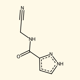 N#CCNC(=O)c1cc[nH]n1